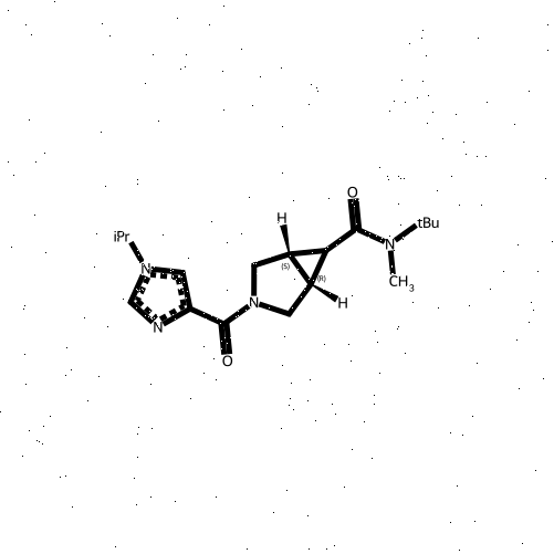 CC(C)n1cnc(C(=O)N2C[C@@H]3C(C(=O)N(C)C(C)(C)C)[C@@H]3C2)c1